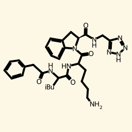 CCC(C)C(NC(=O)Cc1ccccc1)C(=O)NC(CCCCN)C(=O)N1c2ccccc2C[C@H]1C(=O)NCc1nn[nH]n1